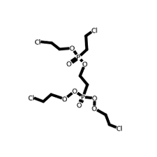 O=P(CCCl)(OCCCl)OCCP(=O)(OOCCCl)OOCCCl